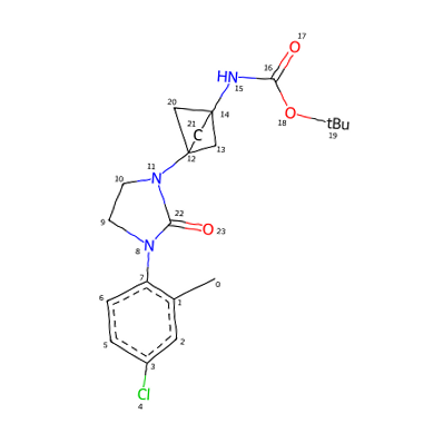 Cc1cc(Cl)ccc1N1CCN(C23CC(NC(=O)OC(C)(C)C)(C2)C3)C1=O